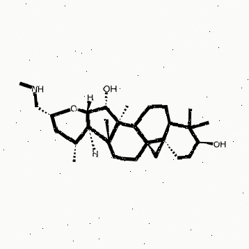 CNC[C@H]1C[C@@H](C)[C@H]2[C@H](O1)[C@H](O)[C@@]1(C)C3CCC4C(C)(C)[C@@H](O)CC[C@@]45C[C@@]35CC[C@]21C